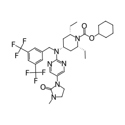 CC[C@@H]1C[C@H](N(Cc2cc(C(F)(F)F)cc(C(F)(F)F)c2)c2ncc(N3CCN(C)C3=O)cn2)C[C@H](CC)N1C(=O)OC1CCCCC1